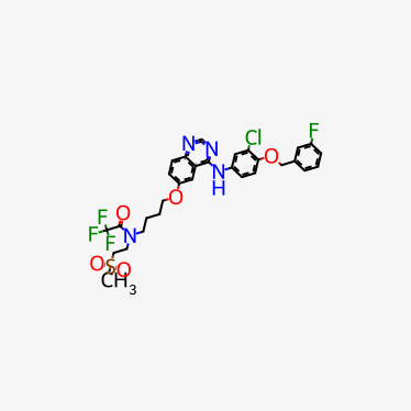 CS(=O)(=O)CCN(CCCCOc1ccc2ncnc(Nc3ccc(OCc4cccc(F)c4)c(Cl)c3)c2c1)C(=O)C(F)(F)F